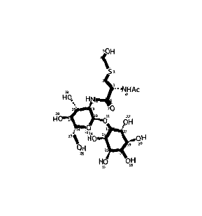 CC(=O)N[C@@H](CSCO)C(=O)N[C@H]1[C@@H](OC2[C@H](O)[C@H](O)C(O)[C@H](O)[C@H]2O)O[C@H](CO)[C@@H](O)[C@@H]1O